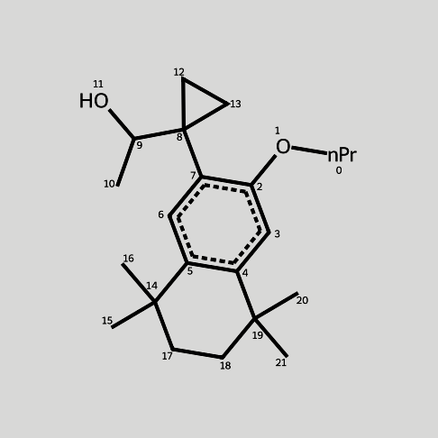 CCCOc1cc2c(cc1C1(C(C)O)CC1)C(C)(C)CCC2(C)C